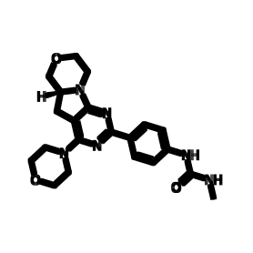 CNC(=O)Nc1ccc(-c2nc(N3CCOCC3)c3c(n2)N2CCOC[C@H]2C3)cc1